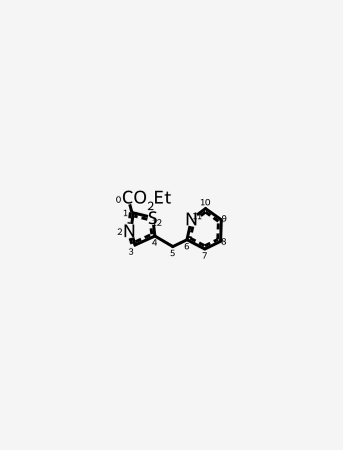 CCOC(=O)c1ncc(Cc2ccccn2)s1